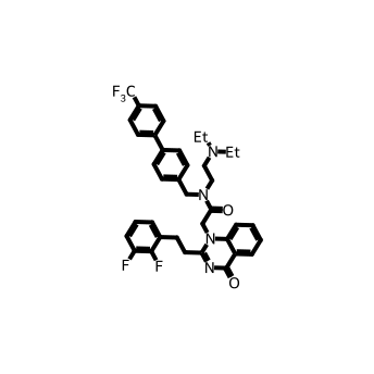 CCN(CC)CCN(Cc1ccc(-c2ccc(C(F)(F)F)cc2)cc1)C(=O)Cn1c(CCc2cccc(F)c2F)nc(=O)c2ccccc21